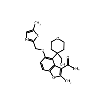 Cc1cnc(COc2ccc3oc(C)c(C(N)=O)c3c2C2(CO)CCOCC2)s1